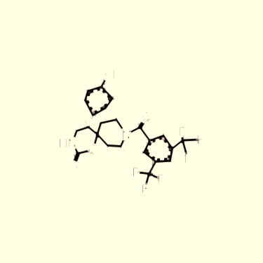 O=C1NC[C@H](c2ccc(Cl)cc2)C2(CCN(C(=O)c3cc(C(F)(F)F)cc(C(F)(F)F)c3)CC2)O1